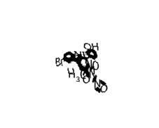 C[C@@]12Cc3c([nH]c4ccc(Br)cc34)[C@@H](c3cccc(O)c3)N1C(=O)N(CCN1CCOCC1)C2=O